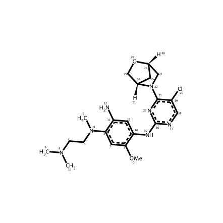 COc1cc(N(C)CCN(C)C)c(N)cc1Nc1ncc(Cl)c(N2C[C@@H]3C[C@H]2CO3)n1